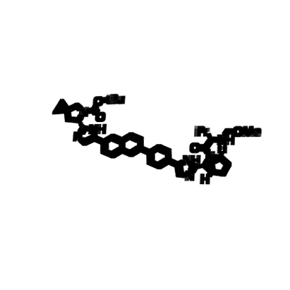 COCN[C@H](C(=O)N1[C@@H]2CC[C@@H](C2)[C@H]1c1ncc(-c2ccc(-c3ccc4cc(-c5cnc([C@@H]6CC7(CC7)CN6C(=O)OC(C)(C)C)[nH]5)ccc4c3)cc2)[nH]1)C(C)C